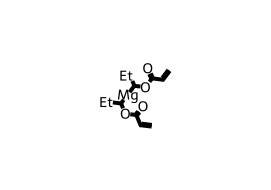 C=CC(=O)O[CH](CC)[Mg][CH](CC)OC(=O)C=C